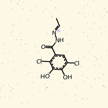 C/C=N/NC(=O)c1cc(Cl)c(O)c(O)c1Cl